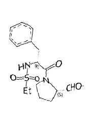 CCS(=O)(=O)N[C@H](Cc1ccccc1)C(=O)N1CCC[C@H]1[C]=O